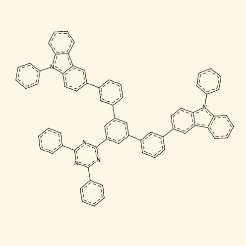 c1ccc(-c2nc(-c3ccccc3)nc(-c3cc(-c4cccc(-c5ccc6c(c5)c5ccccc5n6-c5ccccc5)c4)cc(-c4cccc(-c5ccc6c(c5)c5ccccc5n6-c5ccccc5)c4)c3)n2)cc1